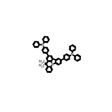 CC1(C)c2ccccc2-n2c3ccc(-c4ccc(N(c5ccccc5)c5ccccc5)cc4)cc3c3cc(-c4ccc(N(c5ccccc5)c5ccccc5)cc4)cc1c32